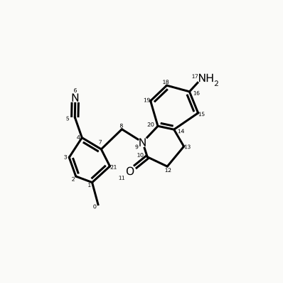 Cc1ccc(C#N)c(CN2C(=O)CCc3cc(N)ccc32)c1